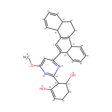 COc1cc(C2=CC3=C(CCC4C=CC=CC34)C3C=CC=CC23)nc(C2C(O)=CCCC2O)n1